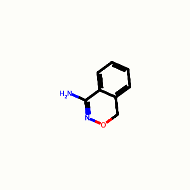 NC1=NOCc2ccccc21